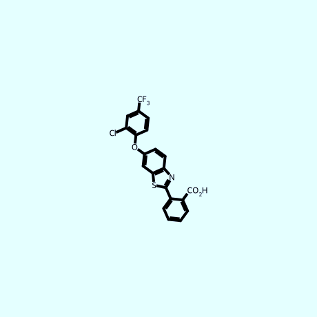 O=C(O)c1ccccc1-c1nc2ccc(Oc3ccc(C(F)(F)F)cc3Cl)cc2s1